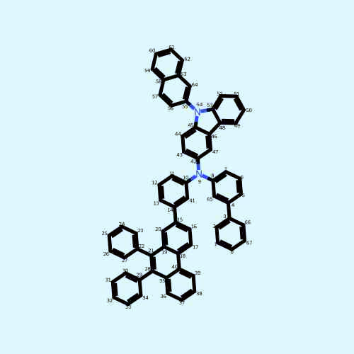 c1ccc(-c2cccc(N(c3cccc(-c4ccc5c(c4)c(-c4ccccc4)c(-c4ccccc4)c4ccccc45)c3)c3ccc4c(c3)c3ccccc3n4-c3ccc4ccccc4c3)c2)cc1